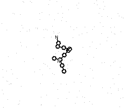 N#Cc1ccc2c(-c3ccc(C45CC6CC(CC(c7ccc(-c8cc(-c9ccccc9)nc(-c9ccc(-c%10ccccc%10)cc9)c8)cc7)(C6)C4)C5)cc3)cccc2c1